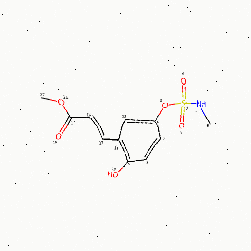 CNS(=O)(=O)Oc1ccc(O)c(/C=C/C(=O)OC)c1